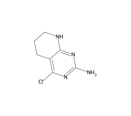 Nc1nc(Cl)c2c(n1)NCCC2